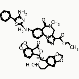 CCOC(=O)c1ncn2c1CN(C)C(=O)c1cc(F)ccc1-2.CN1CCc2cc3c(cc2[C@H]1[C@@H]1OC(=O)c2c1ccc1c2OCO1)OCO3.Nc1nc(N)c(-c2ccccc2)s1